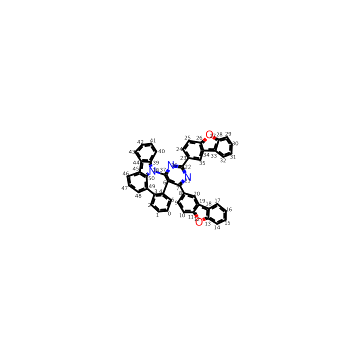 c1ccc2c(c1)-c1c(-c3ccc4oc5ccccc5c4c3)nc(-c3ccc4oc5ccccc5c4c3)nc1-n1c3ccccc3c3cccc-2c31